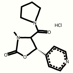 CN1C(=O)O[C@@H](c2ccncc2)C1C(=O)N1CCCC1.Cl